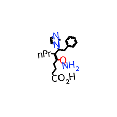 CCCC(=C(CCCC(=O)O)ON)C(Cc1ccccc1)n1ccnc1